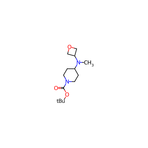 CN(C1CCN(C(=O)OC(C)(C)C)CC1)C1COC1